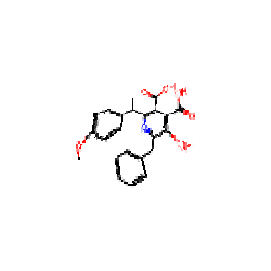 COc1ccc(C(C)c2nc(Cc3ccccc3)c(O)c(C(=O)O)c2C(=O)O)cc1